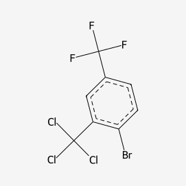 FC(F)(F)c1ccc(Br)c(C(Cl)(Cl)Cl)c1